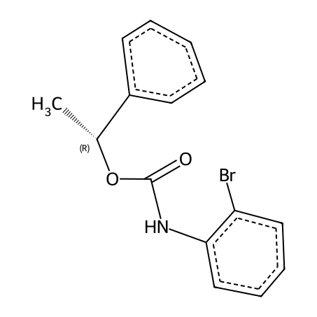 C[C@@H](OC(=O)Nc1ccccc1Br)c1ccccc1